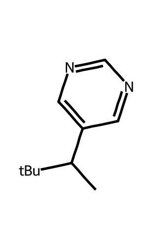 CC(c1cncnc1)C(C)(C)C